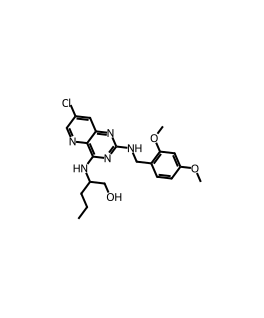 CCCC(CO)Nc1nc(NCc2ccc(OC)cc2OC)nc2cc(Cl)cnc12